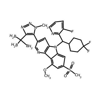 BC(B)(B)c1nnn(C)c1-c1cnc2c3c(OC)cc(S(C)(=O)=O)cc3n(C(c3ncccc3F)C3CCC(F)(F)CC3)c2c1